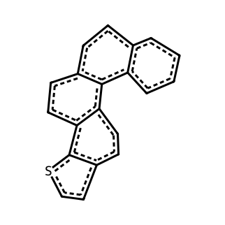 c1ccc2c(c1)ccc1ccc3c(ccc4ccsc43)c12